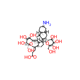 C[C@H](CCC(=O)O)[C@H]1CC[C@H]2[C@@H]3[C@@H](C4O[C@H](CO)[C@@H](O)[C@H](O)[C@H]4O)C[C@@H]4C[C@@H](N)CC[C@]4(C)[C@H]3C[C@@H]([C@@H]3O[C@H](CO)[C@@H](O)[C@H](O)[C@H]3O)[C@]12C